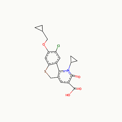 O=C(O)c1cc2c(n(C3CC3)c1=O)-c1cc(Cl)c(OCC3CC3)cc1SC2